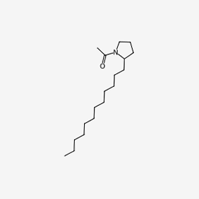 CCCCCCCCCCCCC1CCCN1C(C)=O